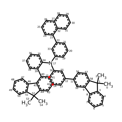 CC1(C)c2ccccc2-c2cc(-c3cccc(N(c4cccc(-c5cccc6ccccc56)c4)c4ccccc4-c4cccc5c4-c4ccccc4C5(C)C)c3)ccc21